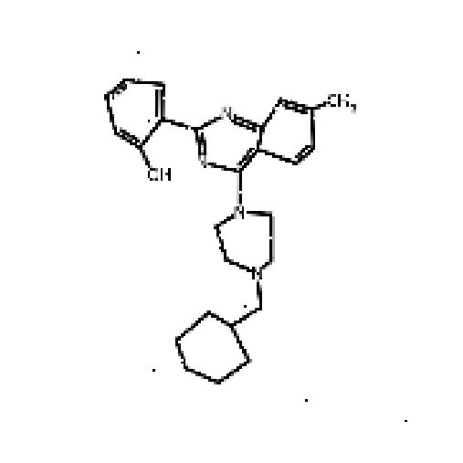 Cc1ccc2c(N3CCN(CC4CCCCC4)CC3)nc(-c3ccccc3O)nc2c1